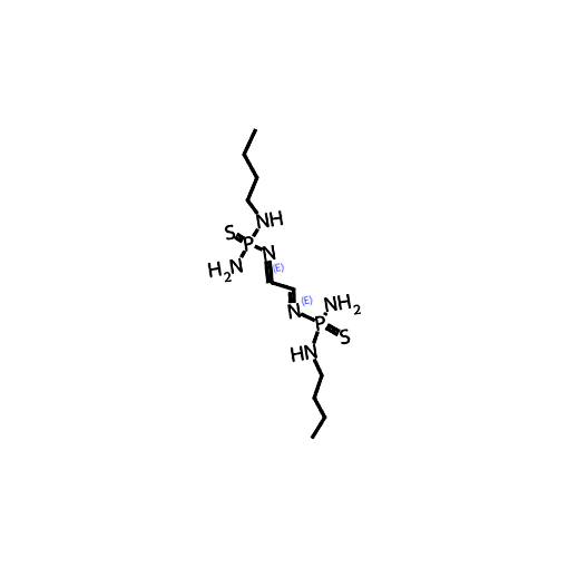 CCCCNP(N)(=S)/N=C/C=N/P(N)(=S)NCCCC